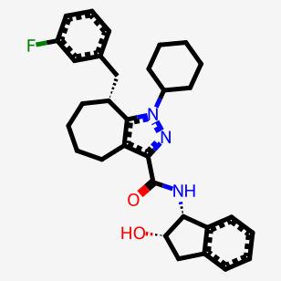 O=C(N[C@@H]1c2ccccc2C[C@@H]1O)c1nn(C2CCCCC2)c2c1CCCC[C@@H]2Cc1cccc(F)c1